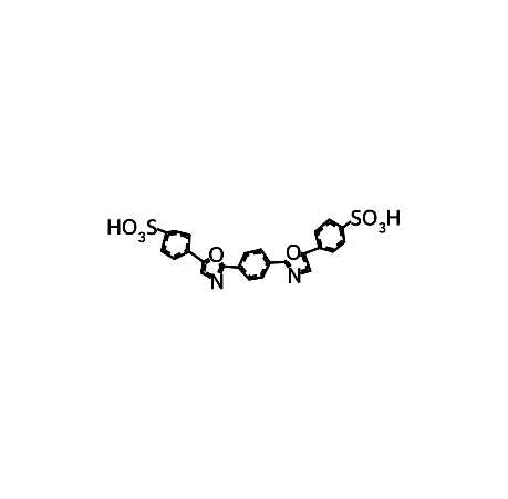 O=S(=O)(O)c1ccc(-c2cnc(-c3ccc(-c4ncc(-c5ccc(S(=O)(=O)O)cc5)o4)cc3)o2)cc1